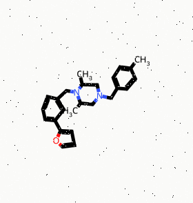 Cc1ccc(CN2CC(C)N(Cc3cccc(-c4ccco4)c3)C(C)C2)cc1